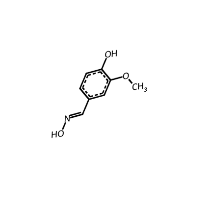 COc1cc(C=NO)ccc1O